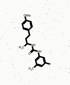 COc1ccc(CCC(C)NC(=O)Nc2cc(C)cc(F)c2)cc1